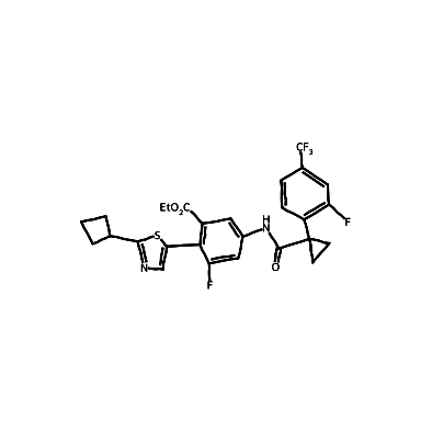 CCOC(=O)c1cc(NC(=O)C2(c3ccc(C(F)(F)F)cc3F)CC2)cc(F)c1-c1cnc(C2CCC2)s1